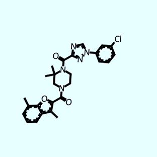 Cc1c(C(=O)N2CCN(C(=O)c3ncn(-c4cccc(Cl)c4)n3)C(C)(C)C2)oc2c(C)cccc12